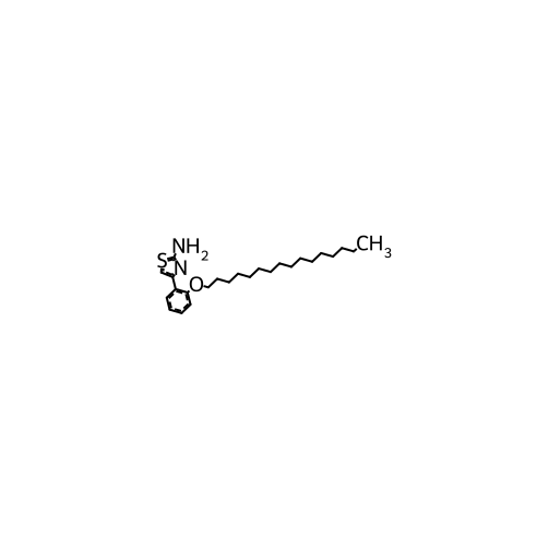 CCCCCCCCCCCCCCCCOc1ccccc1-c1csc(N)n1